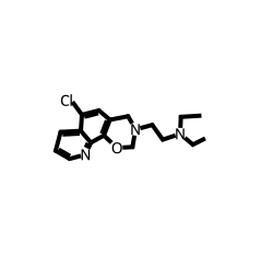 CCN(CC)CCN1COc2c(cc(Cl)c3cccnc23)C1